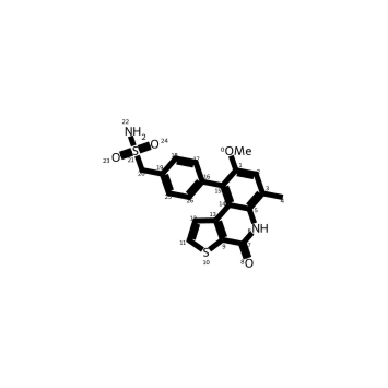 COc1cc(C)c2[nH]c(=O)c3sccc3c2c1-c1ccc(CS(N)(=O)=O)cc1